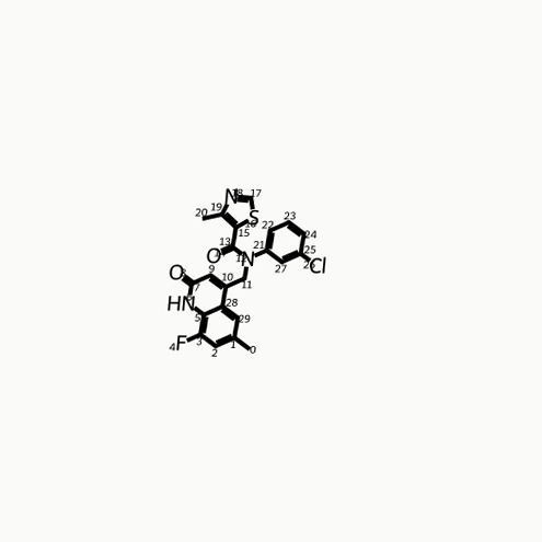 Cc1cc(F)c2[nH]c(=O)cc(CN(C(=O)c3scnc3C)c3cccc(Cl)c3)c2c1